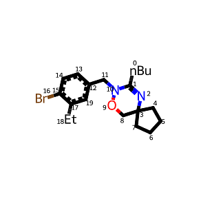 CCCCC1=NC2(CCCC2)CON1Cc1ccc(Br)c(CC)c1